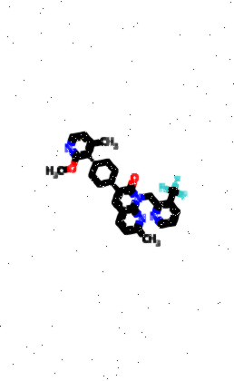 COc1nccc(C)c1[C@H]1CC[C@H](c2cc3ccc(C)nc3n(Cc3ncccc3C(F)(F)F)c2=O)CC1